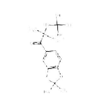 BC(B)(O)NC(B)(C)C(=O)c1ccc2c(c1)OC(B)(B)O2